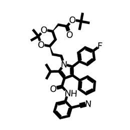 CC(C)c1c(C(=O)Nc2ccccc2C#N)c(-c2ccccc2)c(-c2ccc(F)cc2)n1CC[C@@H]1C[C@H](CC(=O)OC(C)(C)C)OC(C)(C)O1